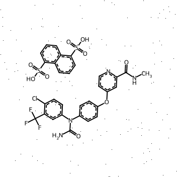 CNC(=O)c1cc(Oc2ccc(N(C(N)=O)c3ccc(Cl)c(C(F)(F)F)c3)cc2)ccn1.O=S(=O)(O)c1cccc2c(S(=O)(=O)O)cccc12